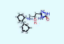 O=c1[nH]nc(CC(O)CNc2ccccc2-c2ccccc2)[nH]1